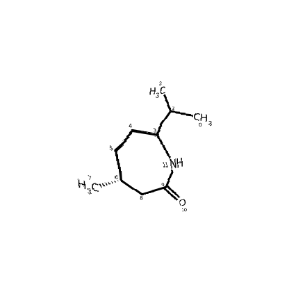 CC(C)C1CC[C@@H](C)CC(=O)N1